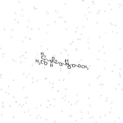 CCOCCOCC(=O)NCCOCCOCC(=O)NCCC[C@H](C)C(C)=O